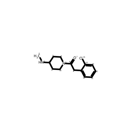 CNC1CCN(C(=O)Cc2ccccc2Cl)CC1